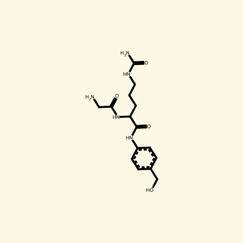 NCC(=O)NC(CCCNC(N)=O)C(=O)Nc1ccc(CO)cc1